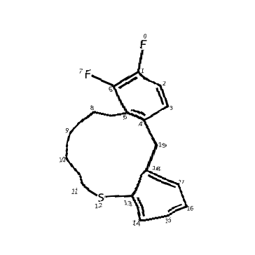 Fc1ccc2c(c1F)CCCCSc1ccccc1C2